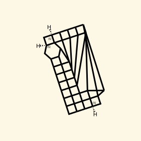 C1C2C3C4C5C6C7C8C[C@H]9C[C@H]%10C%11C%12C%13C%14%15C%16C%14%17C[C@H]%14C%18C1C21C32C43C54C65C76C8C7C9%10C%118C76C56C%128C%135C%157C%168C%14%17C%181C28C37C456